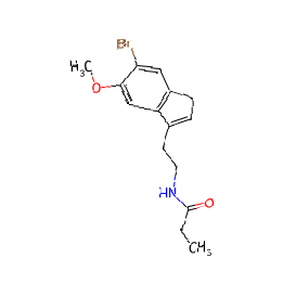 CCC(=O)NCCC1=CCc2cc(Br)c(OC)cc21